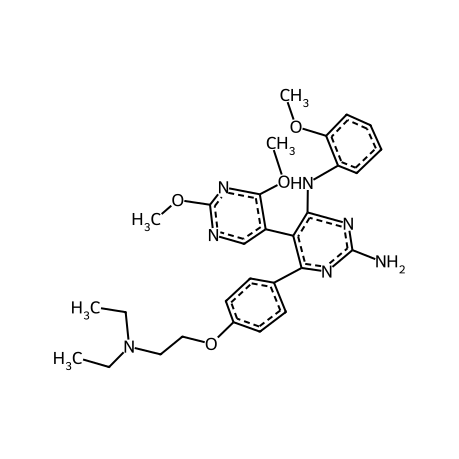 CCN(CC)CCOc1ccc(-c2nc(N)nc(Nc3ccccc3OC)c2-c2cnc(OC)nc2OC)cc1